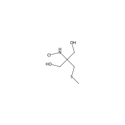 CSCC(CO)(CO)NCl